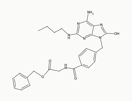 CCCCNc1nc(N)c2nc(O)n(Cc3ccc(C(=O)NCC(=O)OCc4ccccc4)cc3)c2n1